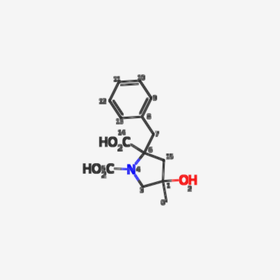 CC1(O)CN(C(=O)O)C(Cc2ccccc2)(C(=O)O)C1